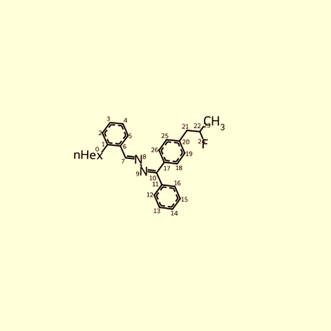 CCCCCCc1ccccc1C=NN=C(c1ccccc1)c1ccc(CC(C)F)cc1